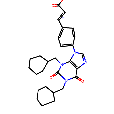 O=C(O)/C=C/c1ccc(-n2cnc3c(=O)n(CC4CCCCC4)c(=O)n(CC4CCCCC4)c32)cc1